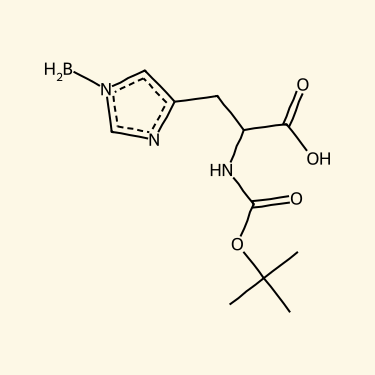 Bn1cnc(CC(NC(=O)OC(C)(C)C)C(=O)O)c1